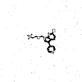 C[Si](C)(C)CCOCn1cc(-c2ccncc2)c2ccc(Cl)nc21